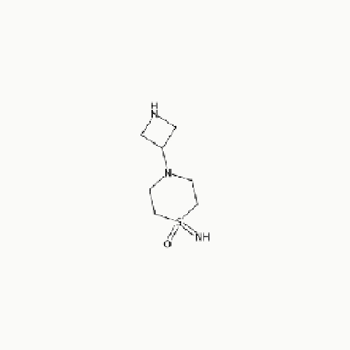 N=S1(=O)CCN(C2CNC2)CC1